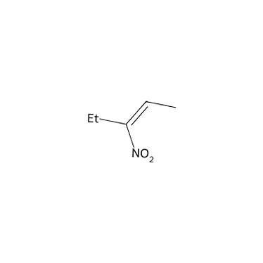 CC=C(CC)[N+](=O)[O-]